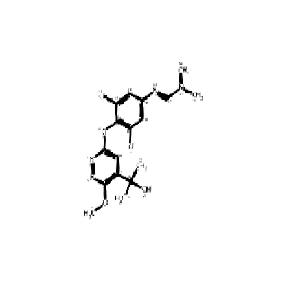 COc1nnc(Oc2c(Cl)cc(N=CN(C)C)cc2Cl)cc1C(C)(C)O